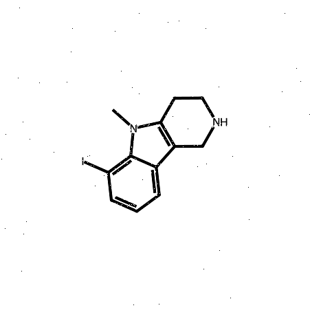 Cn1c2c(c3cccc(I)c31)CNCC2